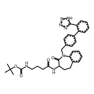 CC(C)(C)OC(=O)NCCCC(=O)NC1CCc2ccccc2N(Cc2ccc(-c3ccccc3-c3nnn[nH]3)cc2)C1=O